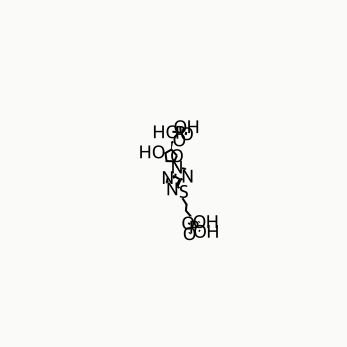 O=P(O)(O)OCCCCSc1ncnc2c1ncn2[C@H]1C[C@H](O)[C@@H](COP(=O)(O)O)O1